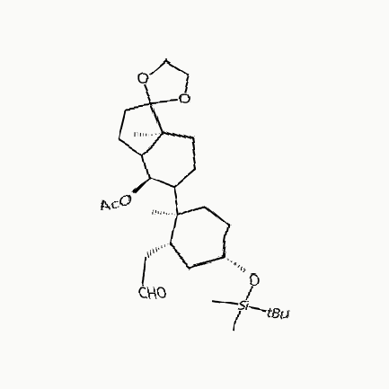 CC(=O)O[C@H]1C2CCC3(OCCO3)[C@@]2(C)CCC1[C@@]1(C)CC[C@H](O[Si](C)(C)C(C)(C)C)C[C@@H]1CC=O